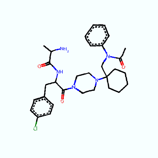 CC(=O)N(CC1(N2CCN(C(=O)C(Cc3ccc(Cl)cc3)NC(=O)C(C)N)CC2)CCCCC1)c1ccccc1